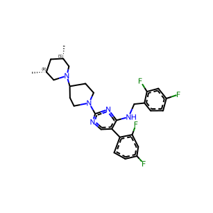 C[C@@H]1C[C@H](C)CN(C2CCN(c3ncc(-c4ccc(F)cc4F)c(NCc4ccc(F)cc4F)n3)CC2)C1